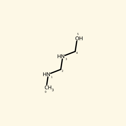 CNCNCO